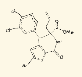 C=CCC1(C(=O)OC)NC(=O)c2sc(Br)cc2C1c1ccc(Cl)c(Cl)c1